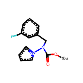 CC(C)(C)OC(=O)N(Cc1cccc(F)c1)n1cccc1